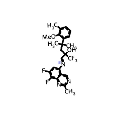 COc1c(C)cccc1C(C)(C)CC(O)(/C=N/c1cc(F)c(F)c2nc(C)ncc12)C(F)(F)F